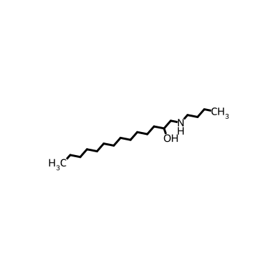 CCCCCCCCCCCCC(O)CNCCCC